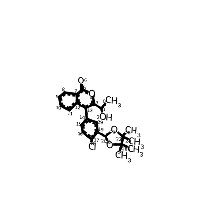 CC(O)c1oc(=O)c2ccccc2c1-c1ccc(Cl)c(C2OC(C)(C)C(C)(C)O2)c1